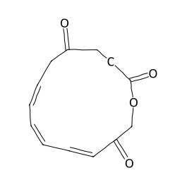 O=C1/C=C/C=C\C=C\CC(=O)CCC(=O)OC1